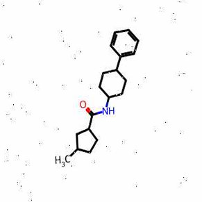 CC1CCC(C(=O)NC2CCC(c3ccccc3)CC2)C1